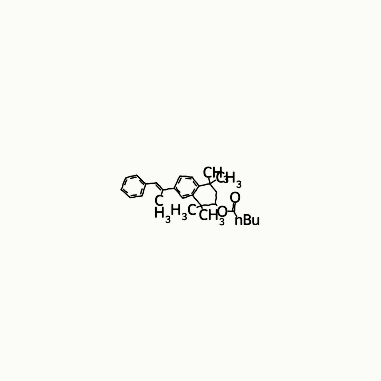 CCCCC(=O)OC1CC(C)(C)c2ccc(/C(C)=C/c3ccccc3)cc2C1(C)C